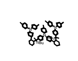 CCCCC(C)(c1ccc(N(c2ccc(C)cc2)c2ccc(C)cc2)cc1)C1CCCCC1c1ccc(N(c2ccc(C)cc2)c2ccc(C(C)(CCCC)C3CCCCC3c3ccc(N(c4ccc(C)cc4)c4ccc(C)cc4)cc3)cc2)cc1